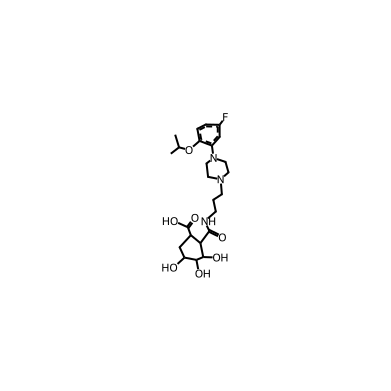 CC(C)Oc1ccc(F)cc1N1CCN(CCCNC(=O)C2C(C(=O)O)CC(O)C(O)C2O)CC1